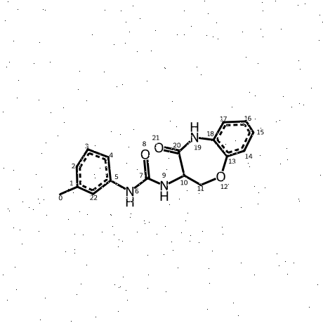 Cc1cccc(NC(=O)NC2COc3ccccc3NC2=O)c1